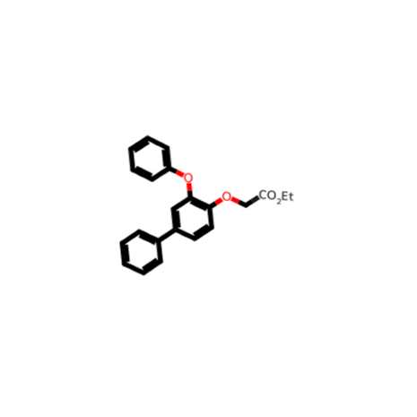 CCOC(=O)COc1ccc(-c2ccccc2)cc1Oc1ccccc1